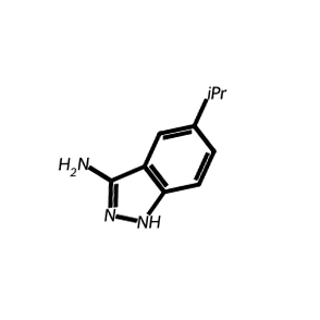 CC(C)c1ccc2[nH]nc(N)c2c1